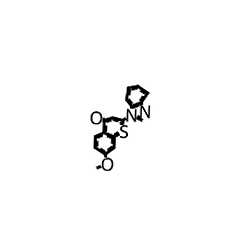 COc1ccc2c(=O)cc(-n3cnc4ccccc43)sc2c1